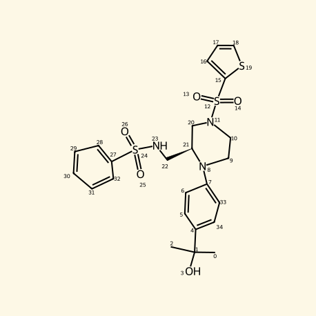 CC(C)(O)c1ccc(N2CCN(S(=O)(=O)c3cccs3)C[C@@H]2CNS(=O)(=O)c2ccccc2)cc1